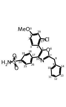 COc1ccc(-c2oc(Cc3ccccc3)nc2-c2ccc(S(N)(=O)=O)cc2)c(Cl)c1